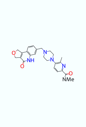 CNC(=O)c1ccc(N2CCN(Cc3ccc4c5c(c(=O)[nH]c4c3)COC5)CC2)c(C)n1